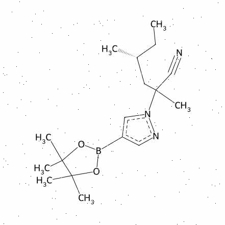 CC[C@@H](C)CC(C)(C#N)n1cc(B2OC(C)(C)C(C)(C)O2)cn1